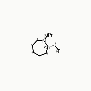 CC(C)N1CCCCC[C@H]1CF